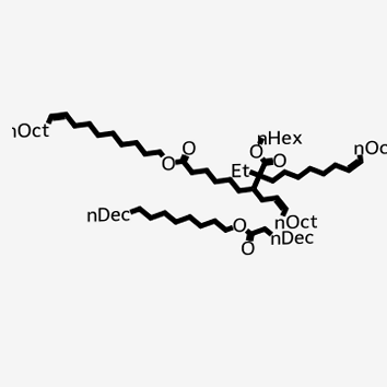 CCCCCCCC/C=C\CCCCCCCCOC(=O)CCCCCC(C/C=C\CCCCCCCC)C(CC)(CCCCCC/C=C\CCCCCCCC)C(=O)OCCCCCC.CCCCCCCCCCCCCCCCCCOC(=O)CCCCCCCCCCC